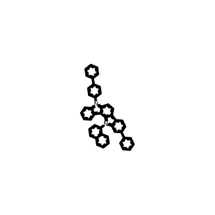 c1ccc(-c2ccc(-n3c4ccccc4c4c3ccc3c5ccc(-c6ccccc6)cc5n(-c5cccc6ccccc56)c34)cc2)cc1